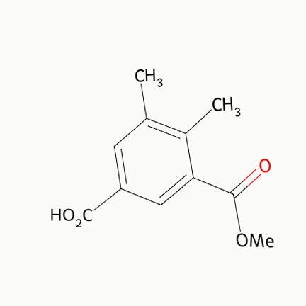 COC(=O)c1cc(C(=O)O)cc(C)c1C